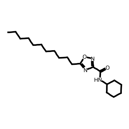 CCCCCCCCCCCc1nc(C(=O)NC2CCCCC2)no1